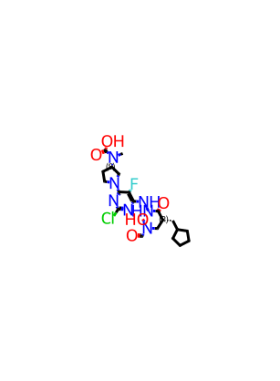 CN(C(=O)O)[C@H]1CCN(c2nc(Cl)nc(NNC(=O)[C@H](CC3CCCC3)CN(O)C=O)c2F)C1